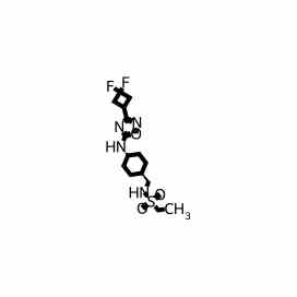 CCS(=O)(=O)NC[C@H]1CC[C@H](Nc2nc(C3CC(F)(F)C3)no2)CC1